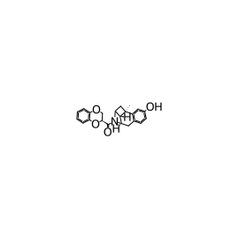 C[C@@]12CC3[C@H]1[C@@H](Cc1ccc(O)cc12)N3C(=O)[C@@H]1COc2ccccc2O1